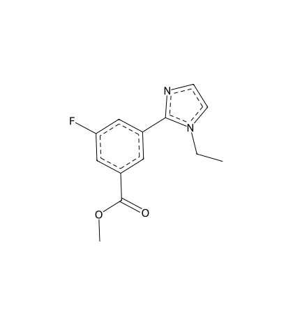 CCn1ccnc1-c1cc(F)cc(C(=O)OC)c1